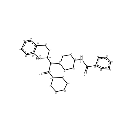 O=C(NC1CCN(C(C(=O)C2CCCCC2)C2CCc3ccccc3N2)CC1)c1ccccc1